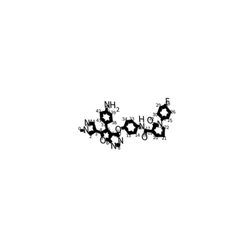 Cn1cc(-c2oc3ncnc(Oc4ccc(NC(=O)c5cccn(-c6ccc(F)cc6)c5=O)cc4)c3c2-c2ccc(N)cc2)cn1